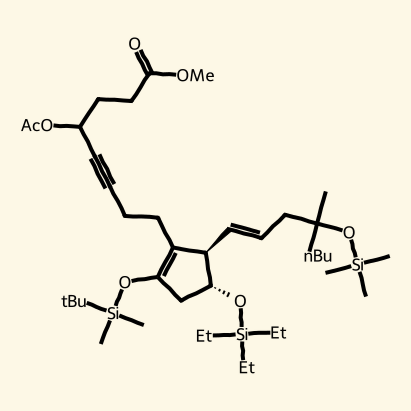 CCCCC(C)(C/C=C/[C@@H]1C(CCC#CC(CCC(=O)OC)OC(C)=O)=C(O[Si](C)(C)C(C)(C)C)C[C@H]1O[Si](CC)(CC)CC)O[Si](C)(C)C